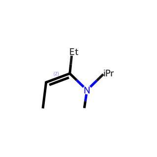 C/C=C(/CC)N(C)C(C)C